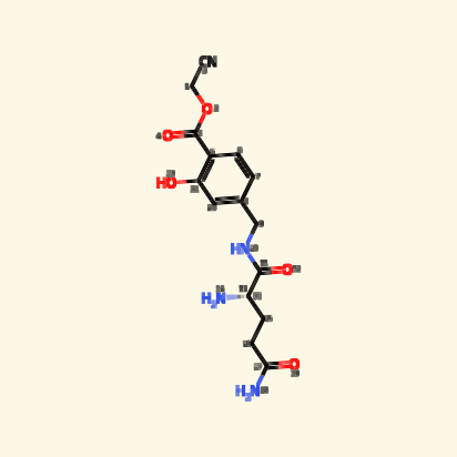 N#CCOC(=O)c1ccc(CNC(=O)[C@@H](N)CCC(N)=O)cc1O